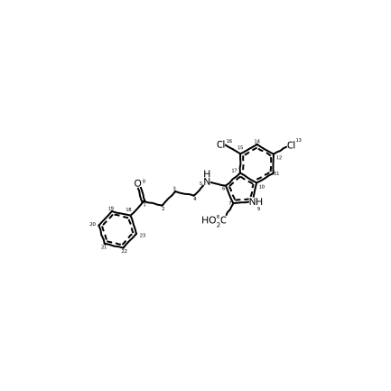 O=C(CCCNc1c(C(=O)O)[nH]c2cc(Cl)cc(Cl)c12)c1ccccc1